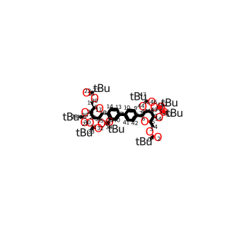 CC(C)(C)C(=O)OCC1OC(c2ccc(-c3ccc([C@H]4O[C@H](COC(=O)C(C)(C)C)[C@@H](OC(=O)C(C)(C)C)[C@H](OC(=O)C(C)(C)C)[C@@H]4OC(=O)C(C)(C)C)cc3)cc2)C(OC(=O)C(C)(C)C)C(OC(=O)C(C)(C)C)C1OC(=O)C(C)(C)C